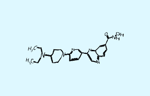 CCN(CC)C1CCN(c2ccc(-c3cnc4ccc(C(=O)NO)cc4n3)cn2)CC1